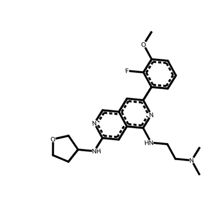 COc1cccc(-c2cc3cnc(NC4CCOC4)cc3c(NCCN(C)C)n2)c1F